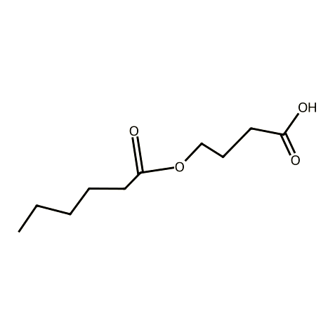 CCCCCC(=O)OCCCC(=O)O